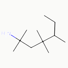 CCC(C)C(C)(C)CC(C)(C)N